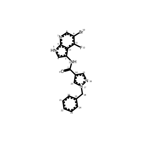 O=C(Nc1c[nH]c2ncc(Br)c(F)c12)c1cnn(Cc2ccccc2)c1